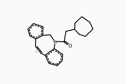 O=C(CC1CCCCCC1)N1Cc2ccccc2/C=C\c2ccccc21